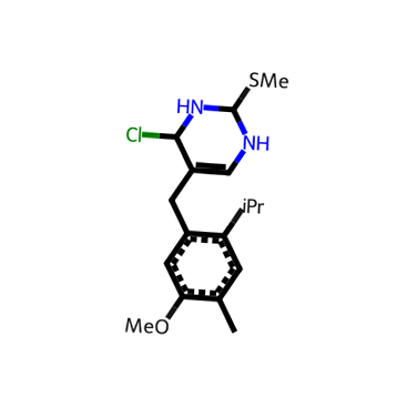 COc1cc(CC2=CNC(SC)NC2Cl)c(C(C)C)cc1C